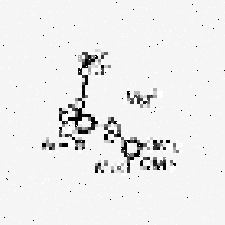 CCCOc1c(OCCCOP(=O)([O-])[O-])cc([C@@H]2CC[C@@H](c3cc(OC)c(OC)c(OC)c3)O2)cc1S(=O)(=O)CC(C)=O.[Mg+2]